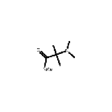 CNC(=O)C(C)(C)N(C)C